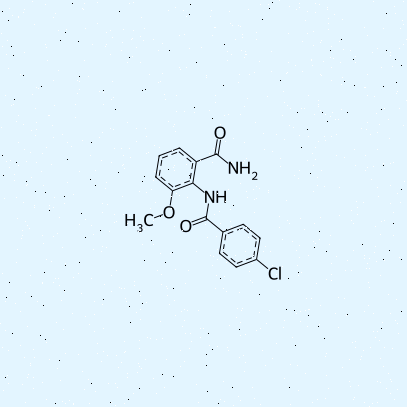 COc1cccc(C(N)=O)c1NC(=O)c1ccc(Cl)cc1